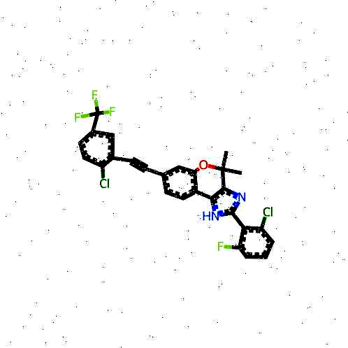 CC1(C)Oc2cc(C#Cc3cc(C(F)(F)F)ccc3Cl)ccc2-c2[nH]c(-c3c(F)cccc3Cl)nc21